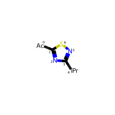 CC(=O)c1nc(C(C)C)ns1